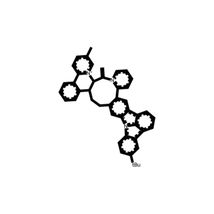 C=C1C2C(CCc3cc4c(cc3-c3cccc[n+]31)c1cccc3c5cc(C(C)(C)C)ccc5n4c31)c1ccccc1-c1ccc(C)c[n+]12